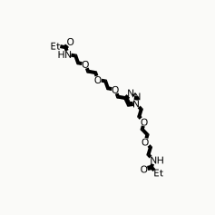 CCC(=O)NCCOCCOCCOCc1cn(CCOCCOCCNC(=O)CC)nn1